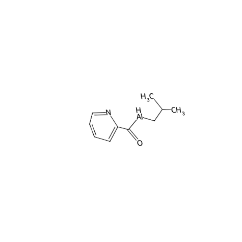 CC(C)[CH2][AlH][C](=O)c1ccccn1